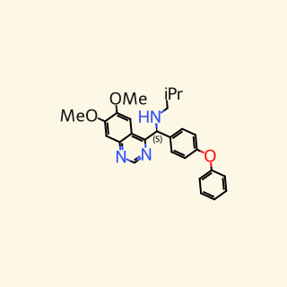 COc1cc2ncnc([C@@H](NCC(C)C)c3ccc(Oc4ccccc4)cc3)c2cc1OC